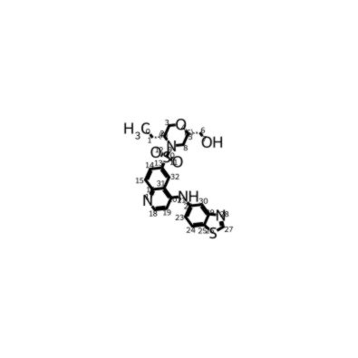 CC[C@@H]1CO[C@H](CO)CN1S(=O)(=O)c1ccc2nccc(Nc3ccc4scnc4c3)c2c1